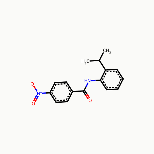 CC(C)c1ccccc1NC(=O)c1ccc([N+](=O)[O-])cc1